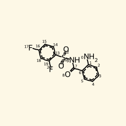 Nc1ccccc1C(=O)NS(=O)(=O)c1ccc(F)cc1F